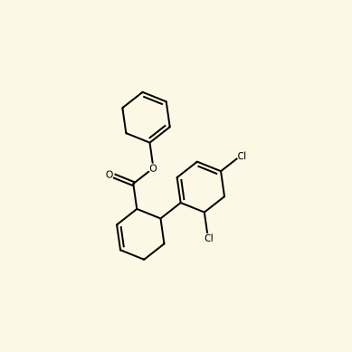 O=C(OC1=CC=CCC1)C1C=CCCC1C1=CC=C(Cl)CC1Cl